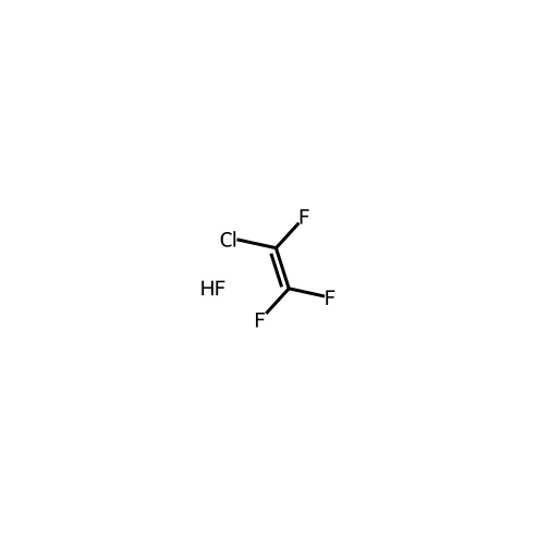 F.FC(F)=C(F)Cl